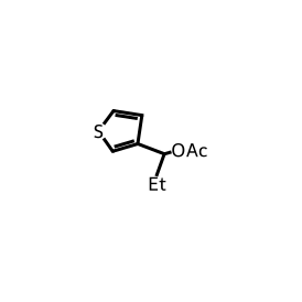 CCC(OC(C)=O)c1ccsc1